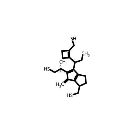 C=C1C2=C(CCC2CS)C(C(CC)C2=C(CS)CC2)=C1[C@@H](C)CS